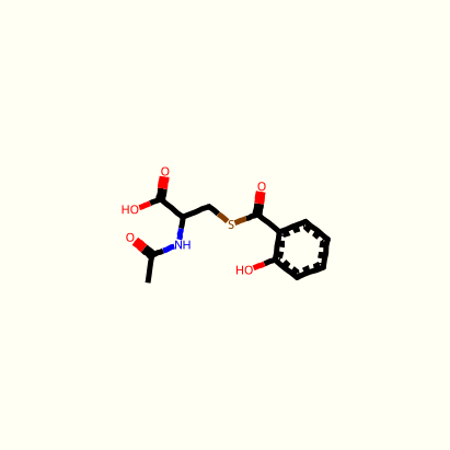 CC(=O)NC(CSC(=O)c1ccccc1O)C(=O)O